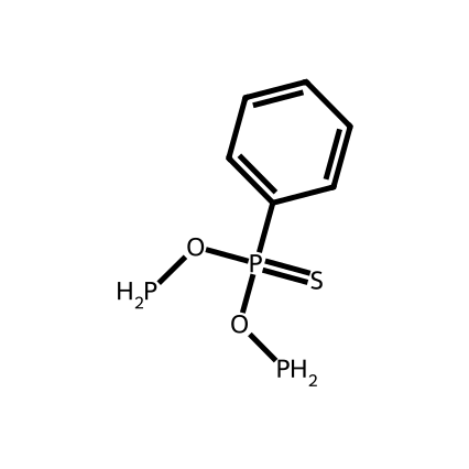 POP(=S)(OP)c1ccccc1